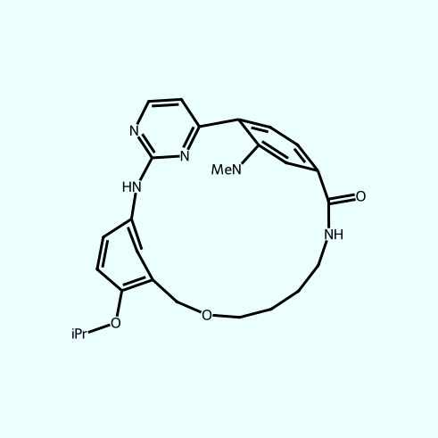 CNc1cc2ccc1-c1ccnc(n1)Nc1ccc(OC(C)C)c(c1)COCCCCNC2=O